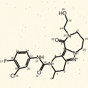 CC1Cc2nn3c(c2CN1C(=O)Nc1ccc(F)c(Cl)c1)C(=O)N(CCO)CCC3